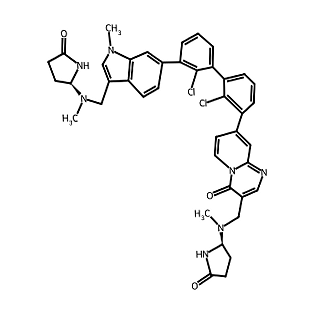 CN(Cc1cnc2cc(-c3cccc(-c4cccc(-c5ccc6c(CN(C)[C@H]7CCC(=O)N7)cn(C)c6c5)c4Cl)c3Cl)ccn2c1=O)[C@H]1CCC(=O)N1